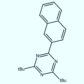 CC(C)(C)c1nc(-c2ccc3ccccc3c2)nc(C(C)(C)C)n1